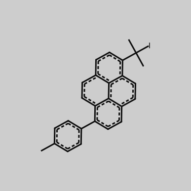 Cc1ccc(-c2ccc3ccc4c(C(C)(C)I)ccc5ccc2c3c54)cc1